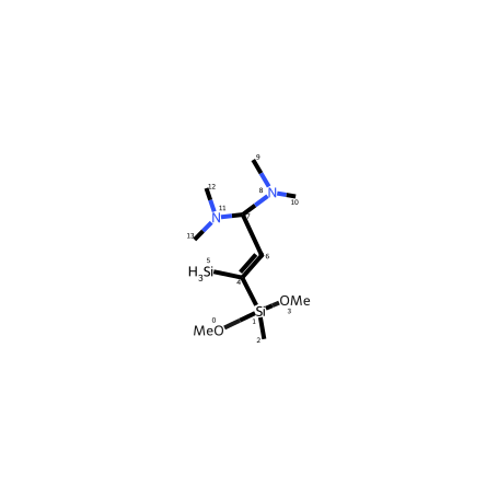 CO[Si](C)(OC)C([SiH3])=CC(N(C)C)N(C)C